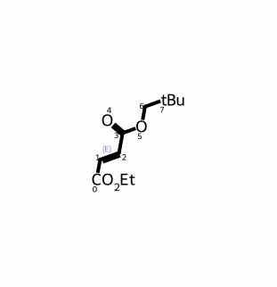 CCOC(=O)/C=C/C(=O)OCC(C)(C)C